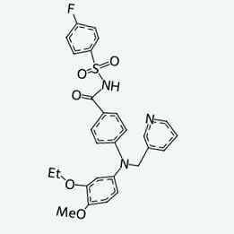 CCOc1cc(N(Cc2cccnc2)c2ccc(C(=O)NS(=O)(=O)c3ccc(F)cc3)cc2)ccc1OC